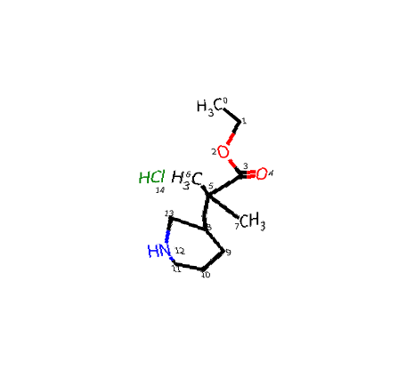 CCOC(=O)C(C)(C)C1CCCNC1.Cl